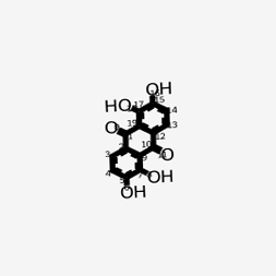 O=C1c2ccc(O)c(O)c2C(=O)c2ccc(O)c(O)c21